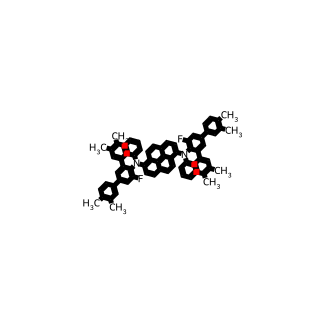 Cc1ccc(-c2cc(F)c(N(c3ccccc3)c3ccc4ccc5c(N(c6ccccc6)c6c(F)cc(-c7ccc(C)c(C)c7)cc6-c6ccc(C)c(C)c6)ccc6ccc3c4c65)c(-c3ccc(C)c(C)c3)c2)cc1C